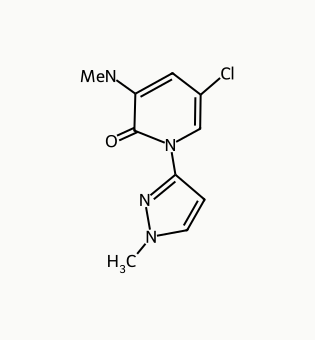 CNc1cc(Cl)cn(-c2ccn(C)n2)c1=O